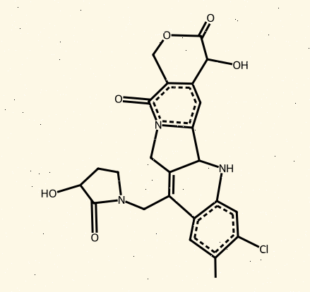 Cc1cc2c(cc1Cl)NC1C(=C2CN2CCC(O)C2=O)Cn2c1cc1c(c2=O)COC(=O)C1O